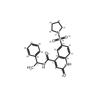 CC(NC(=O)c1cc(=O)[nH]c2ccc(S(=O)(=O)N3CCCC3)cc12)c1ccccc1